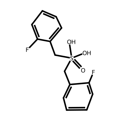 O=S(O)(O)(Cc1ccccc1F)Cc1ccccc1F